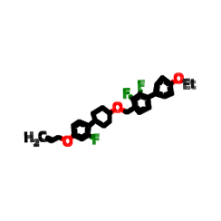 C=CCOc1ccc(C2CCC(OCc3ccc(-c4ccc(OCC)cc4)c(F)c3F)CC2)c(F)c1